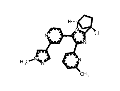 Cc1cccc(-c2nc3n(c2-c2ccnc(-c4cnn(C)c4)c2)[C@H]2CC[C@H]3C2)n1